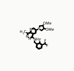 COC1CN(c2cnc3c(C)nnc(NCc4cccc(C(F)F)c4F)c3c2)CC1OC